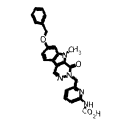 Cn1c2cc(OCc3ccccc3)ccc2c2cnn(Cc3cccc(NC(=O)O)n3)c(=O)c21